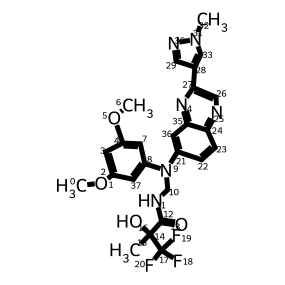 COc1cc(OC)cc(N(CNC(=O)C(C)(O)C(F)(F)F)c2ccc3ncc(-c4cnn(C)c4)nc3c2)c1